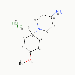 CCOC1CCC(C)(N2CCC(N)CC2)CC1.Cl.Cl